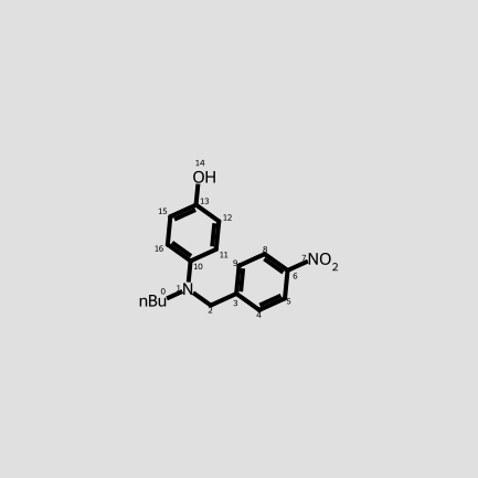 CCCCN(Cc1ccc([N+](=O)[O-])cc1)c1ccc(O)cc1